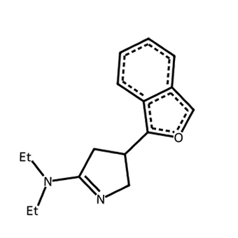 CCN(CC)C1=NCC(c2occ3ccccc23)C1